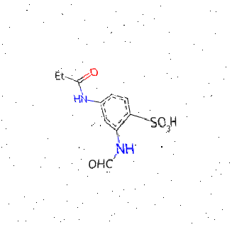 CCC(=O)Nc1ccc(S(=O)(=O)O)c(NC=O)c1